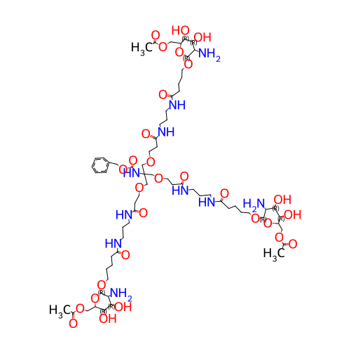 CC(=O)OCC1O[C@@H](OCCCCC(=O)NCCCNC(=O)CCOCC(COCCC(=O)NCCCNC(=O)CCCCO[C@@H]2OC(COC(C)=O)[C@H](O)[C@H](O)C2N)(COCCC(=O)NCCCNC(=O)CCCCO[C@@H]2OC(COC(C)=O)[C@H](O)[C@H](O)C2N)NC(=O)OCc2ccccc2)C(N)[C@@H](O)[C@H]1O